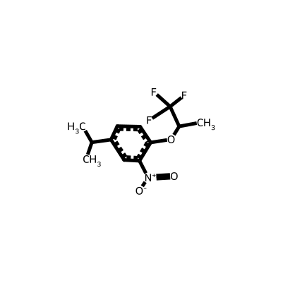 CC(C)c1ccc(OC(C)C(F)(F)F)c([N+](=O)[O-])c1